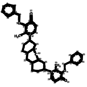 Cc1c(OCc2ccccc2)c(=O)ccn1C1CCC2CC3CCC(n4ccc(=O)c(OCc5ccccc5)c4C)CC3CC2C1